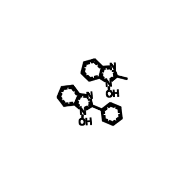 Cc1nc2ccccc2n1O.On1c(-c2ccccc2)nc2ccccc21